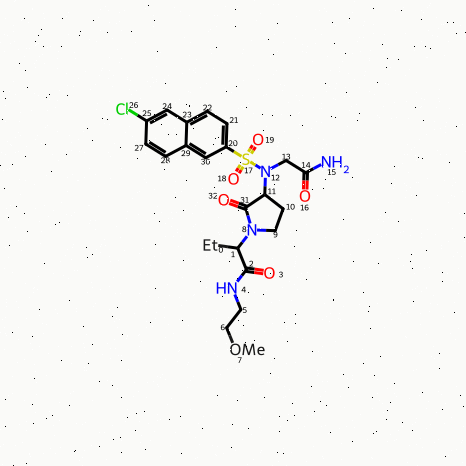 CCC(C(=O)NCCOC)N1CCC(N(CC(N)=O)S(=O)(=O)c2ccc3cc(Cl)ccc3c2)C1=O